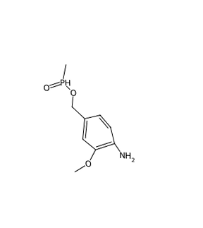 COc1cc(CO[PH](C)=O)ccc1N